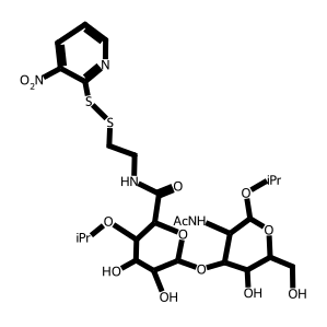 CC(=O)NC1C(OC(C)C)OC(CO)C(O)C1OC1OC(C(=O)NCCSSc2ncccc2[N+](=O)[O-])C(OC(C)C)C(O)C1O